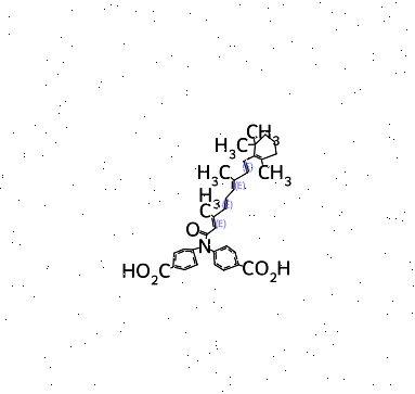 CC1=C(/C=C/C(C)=C/C=C/C(C)=C/C(=O)N(c2ccc(C(=O)O)cc2)c2ccc(C(=O)O)cc2)C(C)(C)CCC1